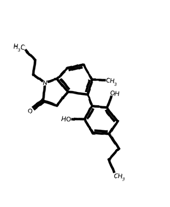 CCCc1cc(O)c(-c2c(C)ccc3c2CC(=O)N3CCC)c(O)c1